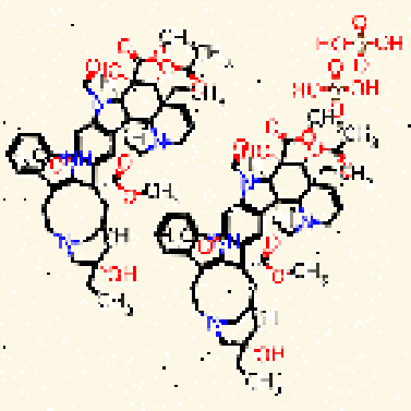 CC[C@]1(O)C[C@H]2C[N@](CCc3c([nH]c4ccccc34)[C@@](C(=O)OC)(c3cc4c(cc3OC)N(C=O)[C@H]3[C@@](O)(C(=O)OC)[C@H](OC(C)=O)[C@]5(CC)C=CCN6CC[C@]43[C@@H]65)C2)C1.CC[C@]1(O)C[C@H]2C[N@](CCc3c([nH]c4ccccc34)[C@@](C(=O)OC)(c3cc4c(cc3OC)N(C=O)[C@H]3[C@@](O)(C(=O)OC)[C@H](OC(C)=O)[C@]5(CC)C=CCN6CC[C@]43[C@@H]65)C2)C1.O=S(=O)(O)O.O=S(=O)(O)O